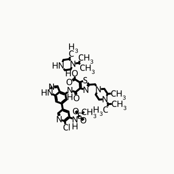 CC(C)N1CCN(Cc2nc(C(=O)Nc3cc(-c4cnc(Cl)c(NS(C)(=O)=O)c4)cc4[nH]ncc34)c(C(=O)O)s2)CC1C.CC(C)N1CCNCC1C